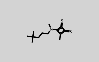 Cc1c(N(C)CCCC(C)(C)C)c(=S)c1=S